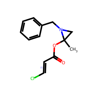 CC1(OC(=O)/C=C/Cl)CN1Cc1ccccc1